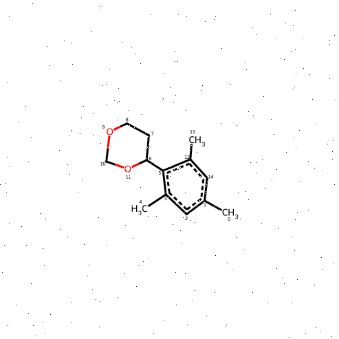 Cc1cc(C)c(C2CCOCO2)c(C)c1